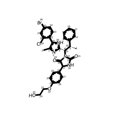 Cc1nc([C@H]([C@@H](C)c2ccccc2)N2C(=O)NC(c3ccc(OCCO)cc3)C2=O)[nH]c1-c1ccc(Br)cc1Cl